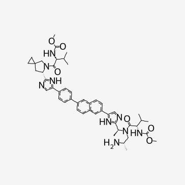 COC(=O)N[C@H](C(=O)N(C[C@H](C)N)[C@@H](C)c1ncc(-c2ccc3cc(-c4ccc(-c5cnc([C@@H]6CC7(CC7)CN6C(=O)[C@@H](NC(=O)OC)C(C)C)[nH]5)cc4)ccc3c2)[nH]1)C(C)C